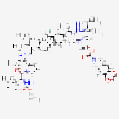 C=C(N/C=C(/c1ccc2c(c1)C(F)(F)c1cc(/C(C)=C/N/C(=C(/C)CC)[C@@H]3CC(OC(=O)N4Cc5cc6c(cc5C4)OCO6)CN3C)ccc1-2)C(C)CC)C1CCCN1C(=O)C(NC(=O)OC)C(C)C